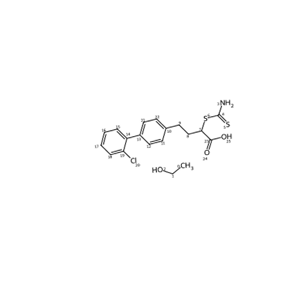 CCO.NC(=S)SC(CCc1ccc(-c2ccccc2Cl)cc1)C(=O)O